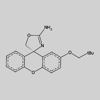 CC(C)(C)COc1ccc2c(c1)[C@@]1(COC(N)=N1)c1ccccc1O2